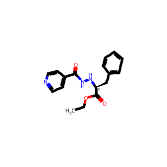 CCOC(=O)[C@H](Cc1ccccc1)NNC(=O)c1ccncc1